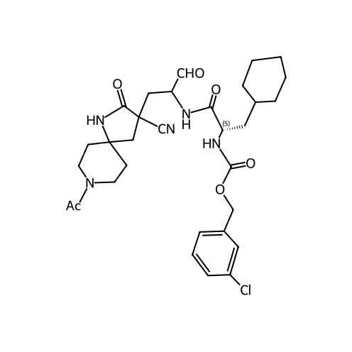 CC(=O)N1CCC2(CC1)CC(C#N)(CC(C=O)NC(=O)[C@H](CC1CCCCC1)NC(=O)OCc1cccc(Cl)c1)C(=O)N2